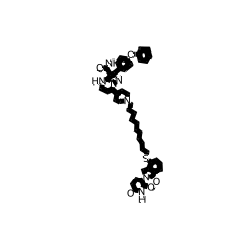 NC(=O)c1c(-c2ccc(Oc3ccccc3)cc2)nn2c1NCCC2C1CCN(CCCCCCCCCCCSc2cccc3c2CN(C2CCC(=O)NC2=O)C3=O)CC1